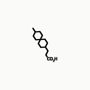 CC1CCC2(CC1)CCC(CCC(=O)O)CC2